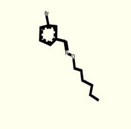 CCCCCCO/N=[C]/c1cccc(Br)c1